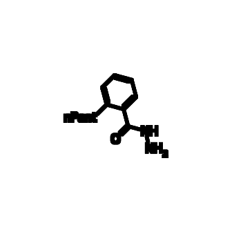 CCCCCc1ccccc1C(=O)NN